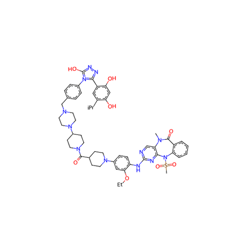 CCOc1cc(N2CCC(C(=O)N3CCC(N4CCN(Cc5ccc(-n6c(O)nnc6-c6cc(C(C)C)c(O)cc6O)cc5)CC4)CC3)CC2)ccc1Nc1ncc2c(n1)N(S(C)(=O)=O)c1ccccc1C(=O)N2C